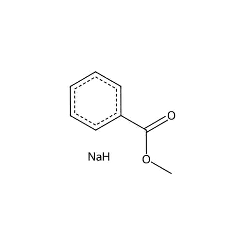 COC(=O)c1ccccc1.[NaH]